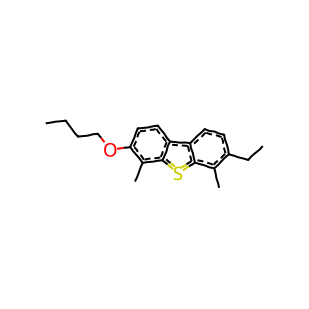 CCCCOc1ccc2c(sc3c(C)c(CC)ccc32)c1C